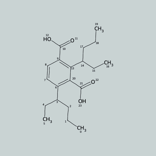 CCCC(CC)c1ccc(C(=O)O)c(C(CC)CCC)c1C(=O)O